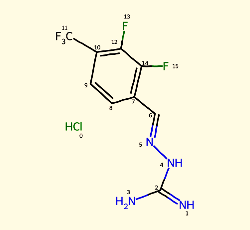 Cl.N=C(N)NN=Cc1ccc(C(F)(F)F)c(F)c1F